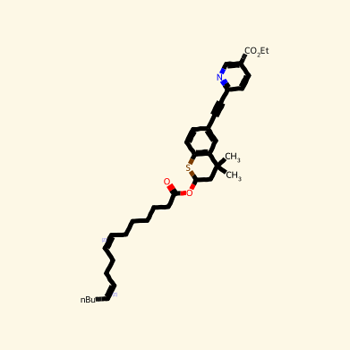 CCCC/C=C\CC/C=C\CCCCCC(=O)OC1CC(C)(C)c2cc(C#Cc3ccc(C(=O)OCC)cn3)ccc2S1